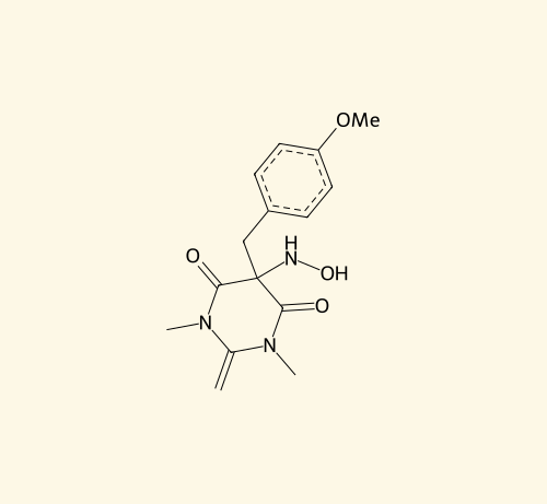 C=C1N(C)C(=O)C(Cc2ccc(OC)cc2)(NO)C(=O)N1C